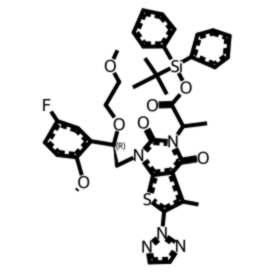 COCCO[C@@H](Cn1c(=O)n(C(C)C(=O)O[Si](c2ccccc2)(c2ccccc2)C(C)(C)C)c(=O)c2c(C)c(-n3nccn3)sc21)c1cc(F)ccc1OC